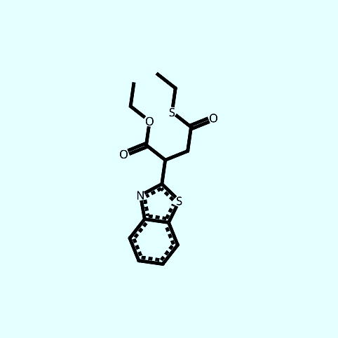 CCOC(=O)C(CC(=O)SCC)c1nc2ccccc2s1